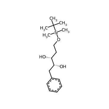 CC(C)(C)[Si](C)(C)OCC[C@@H](O)[C@H](O)Cc1ccccc1